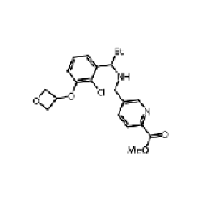 CCC(NCc1ccc(C(=O)OC)nc1)c1cccc(OC2COC2)c1Cl